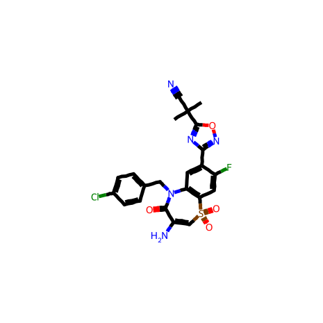 CC(C)(C#N)c1nc(-c2cc3c(cc2F)S(=O)(=O)C=C(N)C(=O)N3Cc2ccc(Cl)cc2)no1